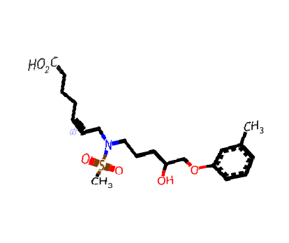 Cc1cccc(OCC(O)CCCN(C/C=C\CCCC(=O)O)S(C)(=O)=O)c1